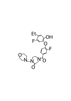 CCc1cc(O)c(Oc2ccc(C(=O)N3CCN(CN4CCOCC4)C(=O)C3)cc2F)cc1F